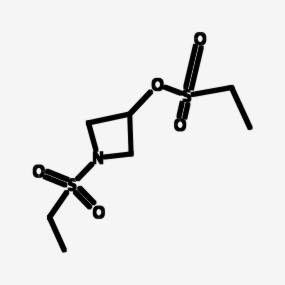 CCS(=O)(=O)OC1CN(S(=O)(=O)CC)C1